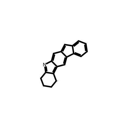 [CH]1CCCC2=Nc3cc4c(cc3=C12)-c1ccccc1C=4